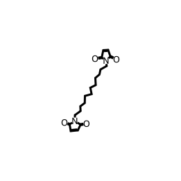 O=C1C=CC(=O)N1CCCCCCCCCCCCN1C(=O)C=CC1=O